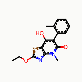 CCOc1nc2c(s1)c(O)c(-c1ccccc1C)c(=O)n2C